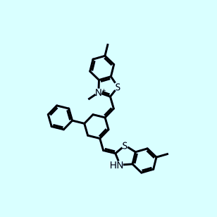 Cc1ccc2c(c1)S/C(=C\C1=CC(=C/c3sc4cc(C)ccc4[n+]3C)/CC(c3ccccc3)C1)N2